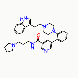 O=C(NCCCN1CCCC1)c1cncc(-c2ccccc2N2CCN(CCc3c[nH]c4ccccc34)CC2)c1